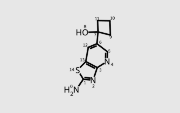 Nc1nc2ncc(C3(O)CCC3)cc2s1